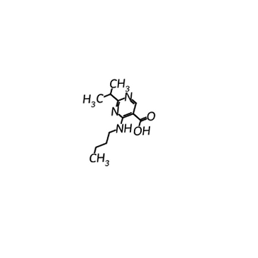 CCCCNc1nc(C(C)C)ncc1C(=O)O